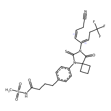 CS(=O)(=O)NC(=O)CCCc1ccc(N2C(=S)N(C(/C=C\CC#N)=C/CC(F)(F)F)C(=O)C23CCC3)cc1